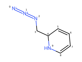 [N-]=[N+]=NC[C]1C=CC=CN1